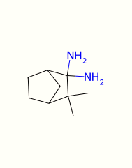 CC1(C)C2CCC(C2)C1(N)N